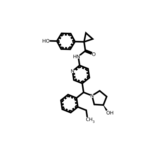 CCc1ccccc1C(c1ccc(NC(=O)C2(c3ccc(O)cc3)CC2)nc1)N1CC[C@@H](O)C1